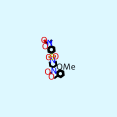 COc1cccc2c1N(C1CCN(S(=O)(=O)c3ccc4c(c3)oc(=O)n4C)CC1)C(=O)OC2